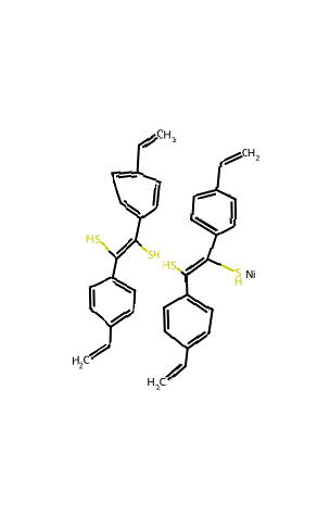 C=Cc1ccc(C(S)=C(S)c2ccc(C=C)cc2)cc1.C=Cc1ccc(C(S)=C(S)c2ccc(C=C)cc2)cc1.[Ni]